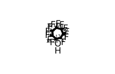 OC1(F)C(F)C(F)(F)C(F)(F)C(F)(F)C(F)(F)C1(F)F